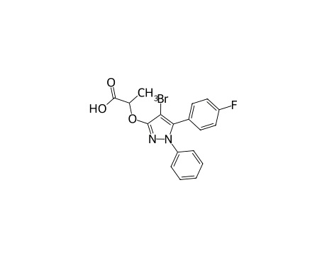 CC(Oc1nn(-c2ccccc2)c(-c2ccc(F)cc2)c1Br)C(=O)O